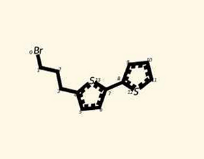 BrCCCc1ccc(-c2cccs2)s1